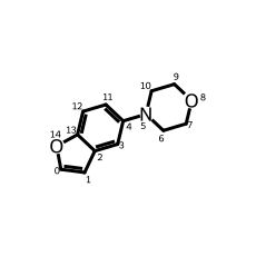 c1cc2cc(N3CCOCC3)ccc2o1